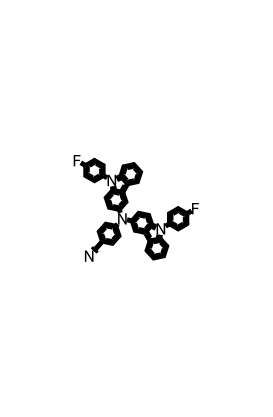 N#Cc1ccc(N(c2ccc3c(c2)c2ccccc2n3-c2ccc(F)cc2)c2ccc3c(c2)c2ccccc2n3-c2ccc(F)cc2)cc1